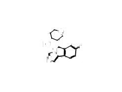 O[C@H]1CCOC[C@@H]1C1c2cc(F)ccc2-c2cncn21